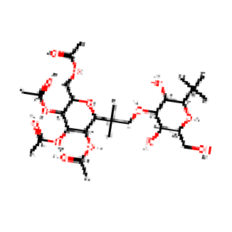 CC(=O)OCC1OC(C(C)(C)COC2C(O)C(CO)OC(C(C)(C)C)C2O)C(OC(C)=O)C(OC(C)=O)C1OC(C)=O